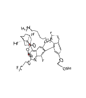 COCOc1cc(-c2c(C(=O)O)cc3c(N4C[C@H]5CC[C@@H](C4)N5C(=O)OC(C)(C)C)nc(OCC(F)(F)F)nc3c2F)c2c(CCCCCN)c(F)ccc2c1